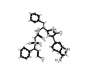 Nc1n[nH]c2cc(-c3nc([C@H](Cc4ccccc4)NC(=O)CS(=O)(=O)C(C=CCl)c4ccccc4)[nH]c3Cl)ccc12